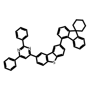 c1ccc(-c2cc(-c3ccc4sc5ccc(-c6cccc7c6-c6ccccc6C76CCCCC6)cc5c4c3)nc(-c3ccccc3)n2)cc1